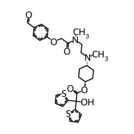 CN(CCN(C)[C@H]1CC[C@H](OC(=O)C(O)(c2cccs2)c2cccs2)CC1)C(=O)COc1ccc(C=O)cc1